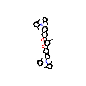 Cc1ccccc1N(c1ccc2cc3c(cc2c1)oc1c3cc(C)c2c3cc4ccc(N(c5ccccc5C)c5c(C)cccc5C)cc4cc3oc12)c1c(C)cccc1C